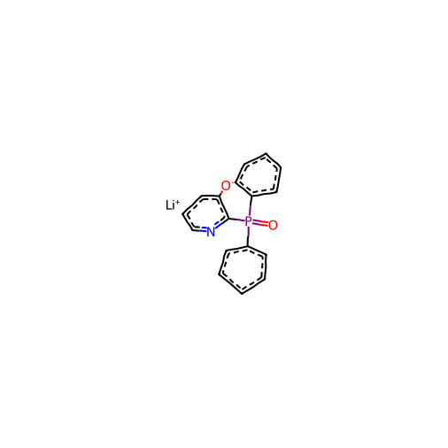 O=P(c1ccccc1)(c1ccccc1)c1ncccc1[O-].[Li+]